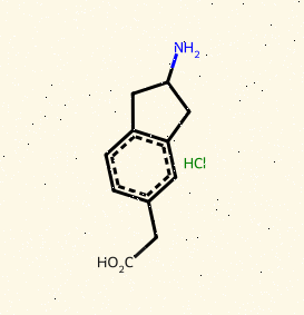 Cl.NC1Cc2ccc(CC(=O)O)cc2C1